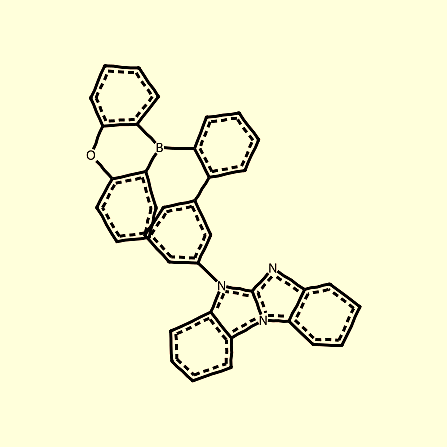 c1cc(-c2ccccc2B2c3ccccc3Oc3ccccc32)cc(-n2c3ccccc3n3c4ccccc4nc23)c1